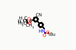 CC(C)(C)OC(=O)NCc1ccc(-c2cc(C#N)cc(B3OC(C)(C)C(C)(C)O3)c2)cc1